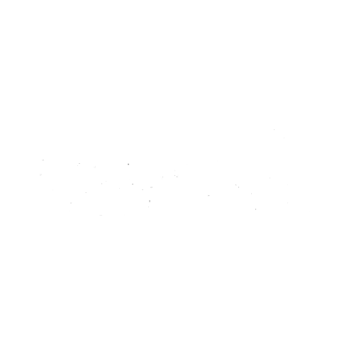 CCOc1cc(F)ccc1N1CCC(CNC(=O)[C@H](O)[C@@H](O)C(=O)N2Cc3ccccc3C2(C)C)CC1